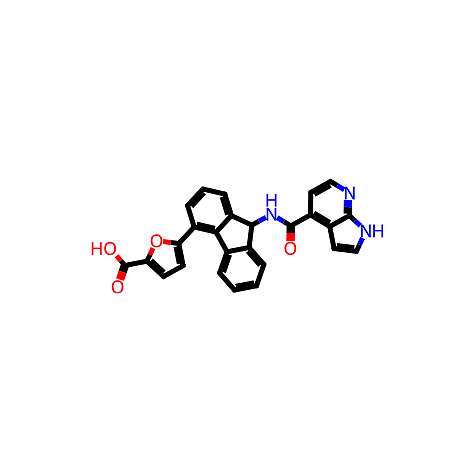 O=C(O)c1ccc(-c2cccc3c2-c2ccccc2C3NC(=O)c2ccnc3[nH]ccc23)o1